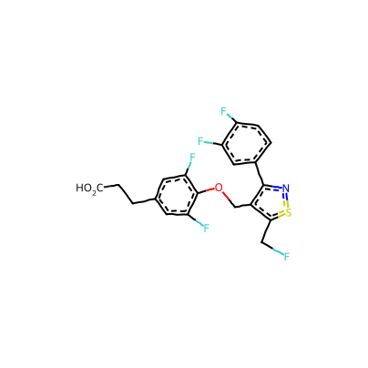 O=C(O)CCc1cc(F)c(OCc2c(-c3ccc(F)c(F)c3)nsc2CF)c(F)c1